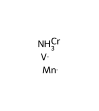 N.[Cr].[Mn].[V]